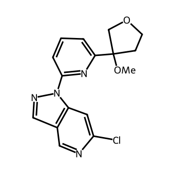 COC1(c2cccc(-n3ncc4cnc(Cl)cc43)n2)CCOC1